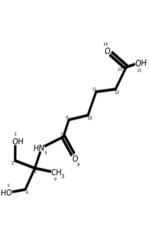 CC(CO)(CO)NC(=O)CCCCC(=O)O